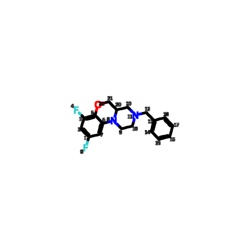 Fc1cc(F)c2c(c1)N1CCN(Cc3ccccc3)CC1CO2